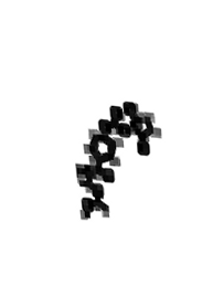 COC(C)OC(C)NC(=O)c1ccc(OC(=O)ON2C(=O)CCC2=O)cc1